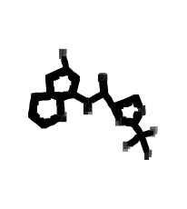 O=C(Nc1cc(F)cc2cccnc12)c1csc(C(F)(F)F)n1